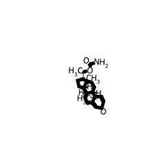 CC(OC(N)=O)[C@H]1CC[C@H]2[C@@H]3CCC4=CC(=O)C=C[C@]4(C)[C@H]3CC[C@]12C